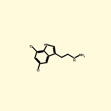 NNCCc1c[nH]c2c(Cl)cc(Cl)cc12